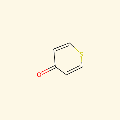 O=c1ccscc1